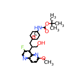 COc1ccc2ncc(F)c(C(CO)CC34CCC(NC(=O)OC(C)(C)C)(CC3)CO4)c2n1